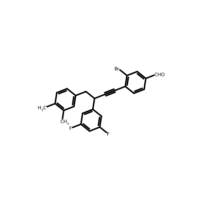 Cc1ccc(CC(C#Cc2ccc(C=O)cc2Br)c2cc(F)cc(F)c2)cc1C